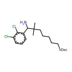 CCCCCCCCCCCCCCCC(C)(C)C(N)c1cccc(Cl)c1Cl